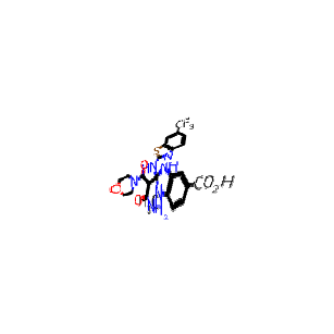 CN1c2ccc(C(=O)O)cc2NC1(Nc1nc2ccc(C(F)(F)F)cc2s1)C(C(N)=O)C(=O)N1CCOCC1